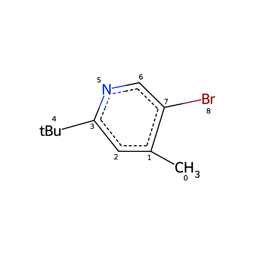 Cc1cc(C(C)(C)C)ncc1Br